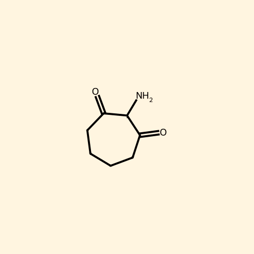 N[C]1C(=O)CCCCC1=O